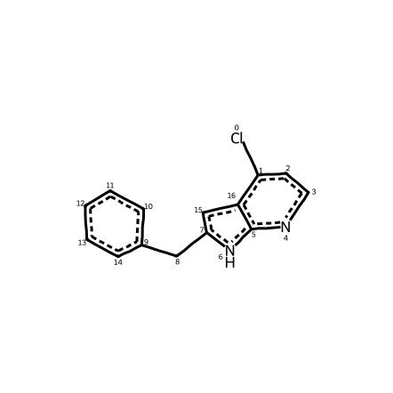 Clc1ccnc2[nH]c(Cc3ccccc3)cc12